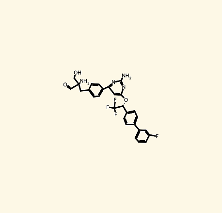 Nc1nc(O[C@H](c2ccc(-c3cccc(F)c3)cc2)C(F)(F)F)cc(-c2ccc(CC(N)(C=O)CO)cc2)n1